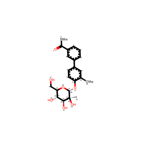 CNC(=O)c1cccc(-c2ccc(O[C@H]3OC(CO)[C@@H](O)[C@H](O)[C@]3(C)O)c(OC)c2)c1